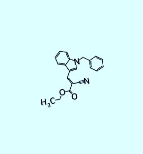 CCOC(=O)/C(C#N)=C/c1cn(Cc2ccccc2)c2ccccc12